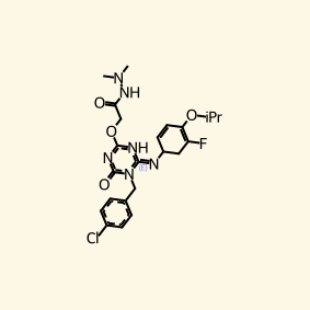 CC(C)OC1=C(F)CC(/N=c2\[nH]c(OCC(=O)NN(C)C)nc(=O)n2Cc2ccc(Cl)cc2)C=C1